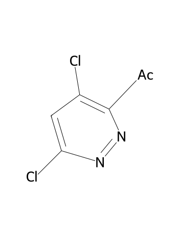 CC(=O)c1nnc(Cl)cc1Cl